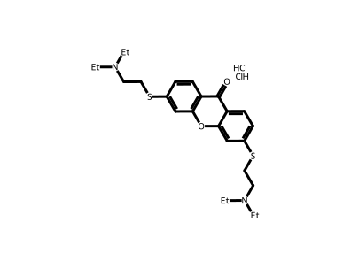 CCN(CC)CCSc1ccc2c(=O)c3ccc(SCCN(CC)CC)cc3oc2c1.Cl.Cl